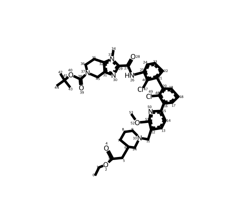 CCOC(=O)CC1CCCN(Cc2ccc(-c3cccc(-c4cccc(NC(=O)c5nc6c(n5C)CCN(C(=O)OC(C)(C)C)C6)c4Cl)c3Cl)nc2OC)C1